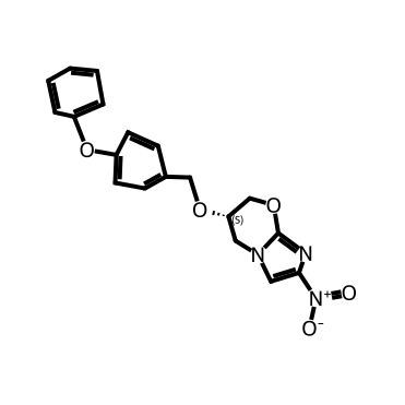 O=[N+]([O-])c1cn2c(n1)OC[C@@H](OCc1ccc(Oc3ccccc3)cc1)C2